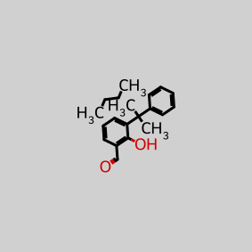 CC(C)(c1ccccc1)c1cccc(C=O)c1O.CCCC